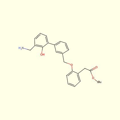 CC(C)(C)OC(=O)Cc1ccccc1OCc1cccc(-c2cccc(CN)c2O)c1